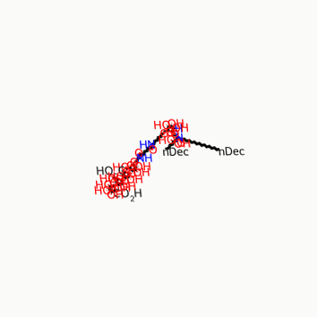 CCCCCCCCCCCCCCCCCCCCCCCCCC(=O)N[C@@H](CO[C@H]1O[C@H](COCCCCCCNC(=O)CCCCC(=O)NCCO[C@@H]2O[C@H](CO)[C@@H](O[C@@H]3O[C@H](C(=O)O)[C@@H](O)[C@H](O[C@@H]4O[C@H](CO)[C@@H](O[C@@H]5O[C@H](C(=O)O)[C@@H](O)[C@H](O)[C@H]5O)[C@H](O)[C@H]4O)[C@H]3O)[C@H](O)[C@H]2O)[C@H](O)[C@H](O)[C@H]1O)[C@H](O)[C@H](O)CCCCCCCCCCCCCC